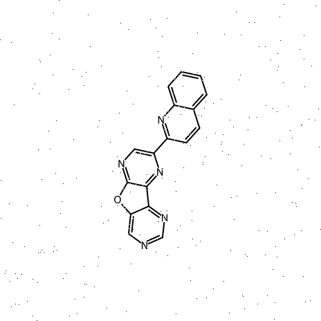 c1ccc2nc(-c3cnc4oc5cncnc5c4n3)ccc2c1